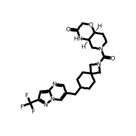 O=C1CO[C@H]2CCN(C(=O)N3CC4(CCC(Cc5cnc6cc(C(F)(F)F)nn6c5)CC4)C3)C[C@H]2N1